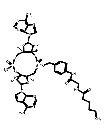 BP1(=O)OC[C@H]2O[C@@H](n3cnc4c(N)ncnc43)[C@H](F)[C@@H]2O[P@](=O)(SCc2ccc(NC(=O)CNC(=O)CCCCC)cc2)OC[C@H]2O[C@@H](n3cnc4c(N)ncnc43)[C@H](F)[C@@H]2O1